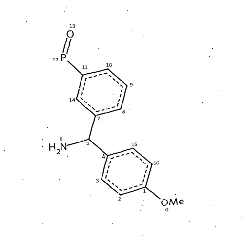 COc1ccc(C(N)c2cccc(P=O)c2)cc1